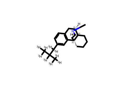 [2H]C([2H])([2H])C([2H])(C([2H])([2H])[2H])C([2H])([2H])c1ccc2c(c1)[C@]13CCCC[C@@H]1[C@H](C2)N(C)CC3